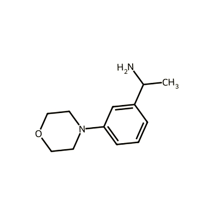 CC(N)c1cccc(N2CCOCC2)c1